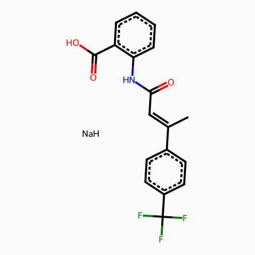 C/C(=C\C(=O)Nc1ccccc1C(=O)O)c1ccc(C(F)(F)F)cc1.[NaH]